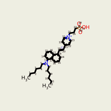 CCCCCCN(CCCCCC)c1cccc2c(/C=C/c3cc[n+](CCCS(=O)(=O)O)cc3)cccc12